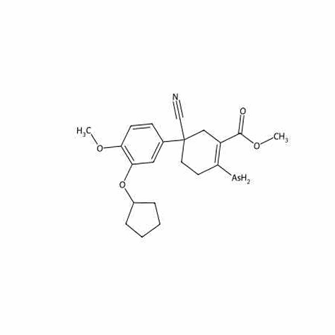 COC(=O)C1=C([AsH2])CCC(C#N)(c2ccc(OC)c(OC3CCCC3)c2)C1